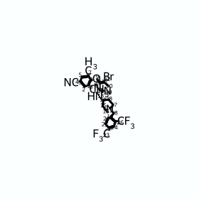 Cc1cc(C#N)cc(C)c1Oc1nc(NC2CCN(Cc3ccc(C(F)(F)F)cc3C(F)(F)F)CC2)ncc1Br